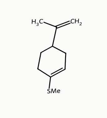 C=C(C)C1CC=C(SC)CC1